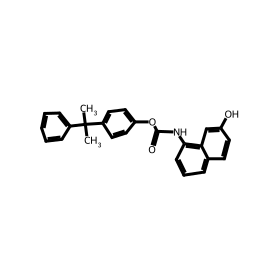 CC(C)(c1ccccc1)c1ccc(OC(=O)Nc2cccc3ccc(O)cc23)cc1